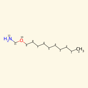 CCCCCCCCCCOCN